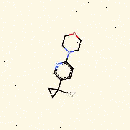 O=C(O)C1(c2ccc(N3CCOCC3)nc2)CC1